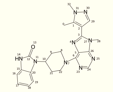 Cc1c(-c2nc3c(N4CCC(n5c(=O)[nH]c6ccccc65)CC4)ncnc3n2C)cnn1C